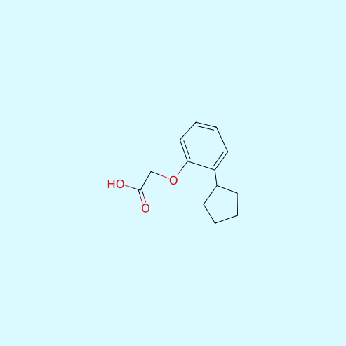 O=C(O)COc1ccccc1C1CCCC1